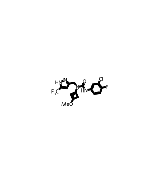 COC12CC(N(Cc3cc(C(F)(F)F)[nH]n3)C(=O)Nc3ccc(F)c(Cl)c3)(C1)C2